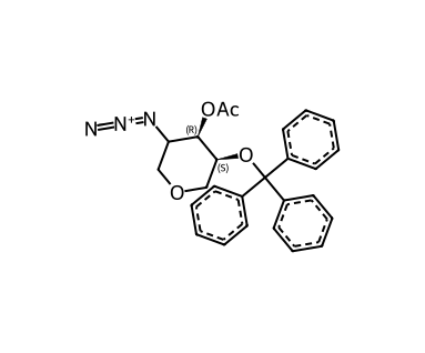 CC(=O)O[C@@H]1C(N=[N+]=[N-])COC[C@@H]1OC(c1ccccc1)(c1ccccc1)c1ccccc1